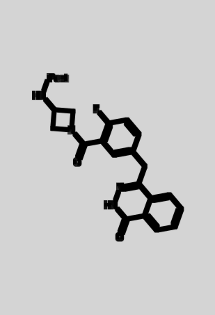 CCCC(C)NC1CN(C(=O)c2cc(Cc3n[nH]c(=O)c4ccccc34)ccc2F)C1